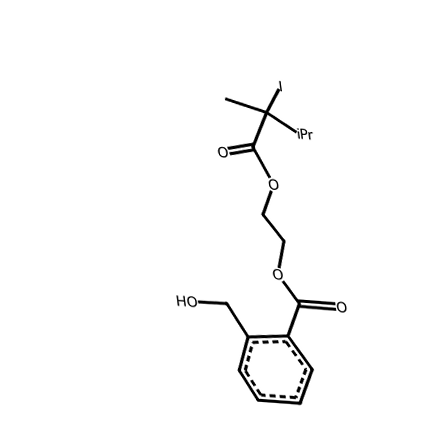 CC(C)C(C)(I)C(=O)OCCOC(=O)c1ccccc1CO